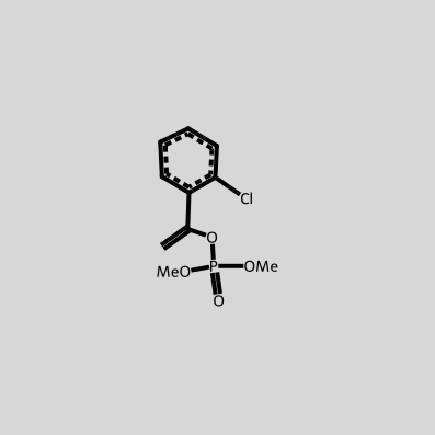 C=C(OP(=O)(OC)OC)c1ccccc1Cl